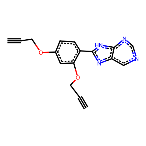 C#CCOc1ccc(-c2nc3cncnc3[nH]2)c(OCC#C)c1